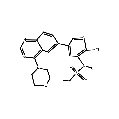 CCS(=O)(=O)N(Cl)c1cc(-c2ccc3ncnc(N4CCOCC4)c3c2)cnc1Cl